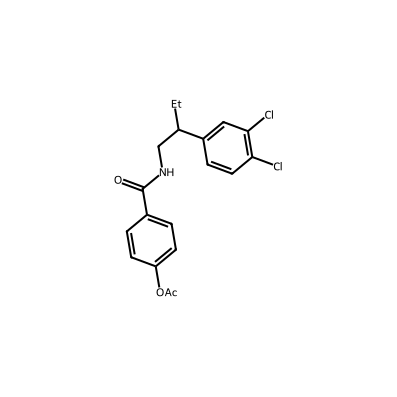 CCC(CNC(=O)c1ccc(OC(C)=O)cc1)c1ccc(Cl)c(Cl)c1